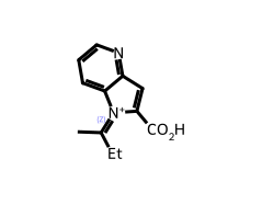 CC/C(C)=[N+]1\C(C(=O)O)=Cc2ncccc21